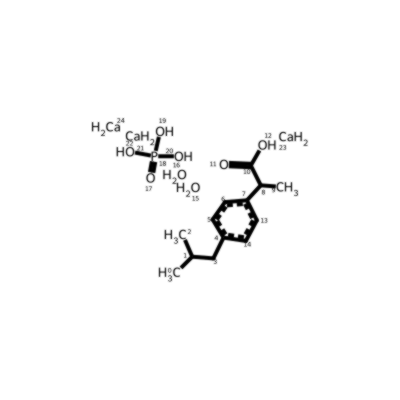 CC(C)Cc1ccc(C(C)C(=O)O)cc1.O.O.O=P(O)(O)O.[CaH2].[CaH2].[CaH2]